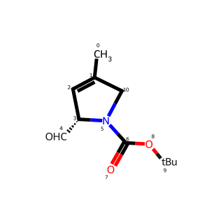 CC1=C[C@@H](C=O)N(C(=O)OC(C)(C)C)C1